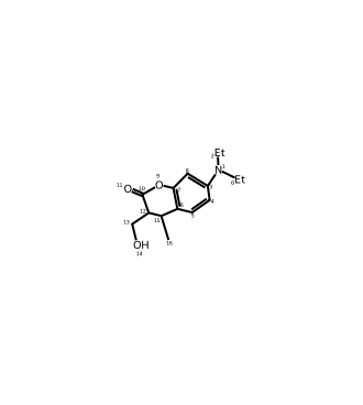 CCN(CC)c1ccc2c(c1)OC(=O)C(CO)C2C